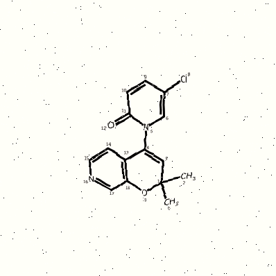 CC1(C)C=C(n2cc(Cl)ccc2=O)c2ccncc2O1